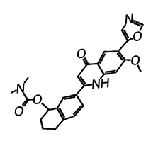 COc1cc2[nH]c(-c3ccc4c(c3)C(OC(=O)N(C)C)CCC4)cc(=O)c2cc1-c1cnco1